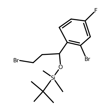 CC(C)(C)[Si](C)(C)OC(CCBr)c1ccc(F)cc1Br